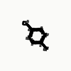 Fc1cnc(Cl)[c]n1